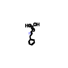 OB(O)O/C=C/Cc1ccccc1